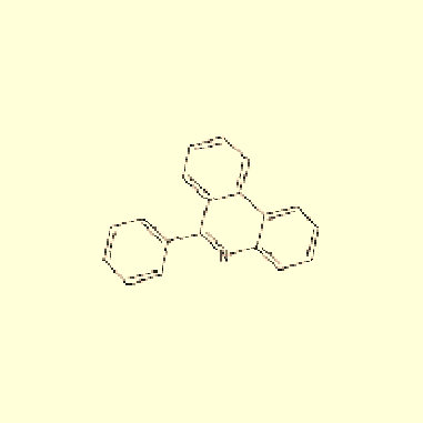 [c]1ccccc1-c1nc2ccccc2c2ccccc12